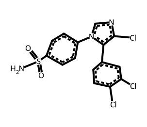 NS(=O)(=O)c1ccc(-n2cnc(Cl)c2-c2ccc(Cl)c(Cl)c2)cc1